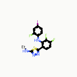 CCNc1nnc(-c2ccc(F)c(F)c2Nc2ccc(I)cc2F)s1